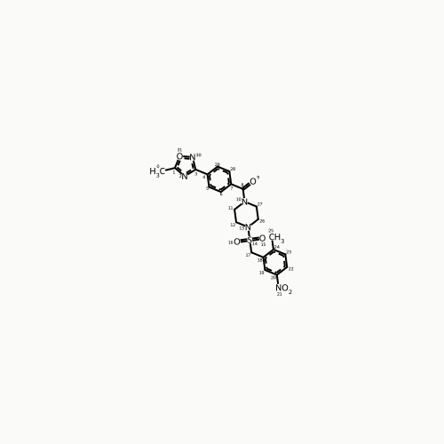 Cc1nc(-c2ccc(C(=O)N3CCN(S(=O)(=O)Cc4cc([N+](=O)[O-])ccc4C)CC3)cc2)no1